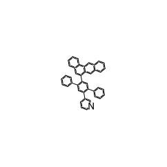 c1ccc(-c2cc(-c3cc4ccccc4c4cc5ccccc5cc34)c(-c3ccccc3)cc2-c2cccnc2)cc1